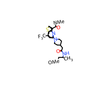 CNC(=O)c1csc2c(C(F)(F)F)cc(N3CCC(CC(=O)NC(C)COC)CC3)nc12